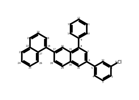 Clc1cccc(-c2cc(-c3ccccc3)c3cc(-c4cccc5ccccc45)ccc3c2)c1